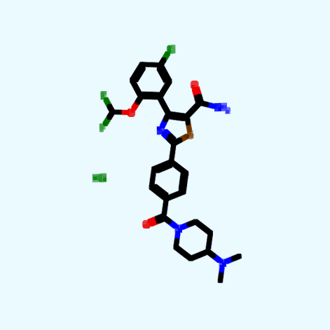 CN(C)C1CCN(C(=O)c2ccc(-c3nc(-c4cc(Cl)ccc4OC(F)F)c(C(N)=O)s3)cc2)CC1.Cl